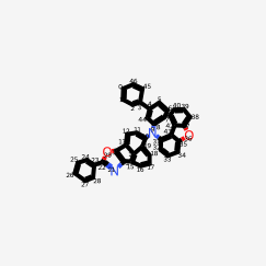 c1ccc(-c2cccc(N(c3ccc4c5c(cccc35)-c3nc(-c5ccccc5)oc3-4)c3cccc4oc5ccccc5c34)c2)cc1